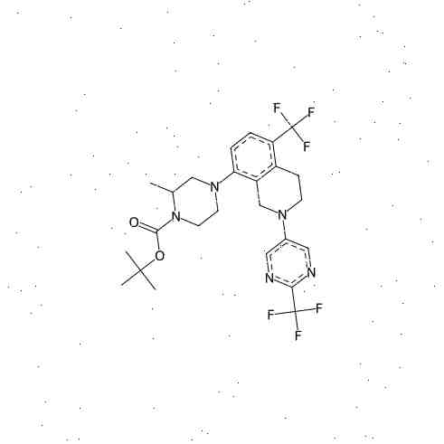 CC1CN(c2ccc(C(F)(F)F)c3c2CN(c2cnc(C(F)(F)F)nc2)CC3)CCN1C(=O)OC(C)(C)C